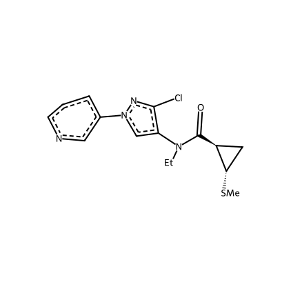 CCN(C(=O)[C@H]1C[C@@H]1SC)c1cn(-c2cccnc2)nc1Cl